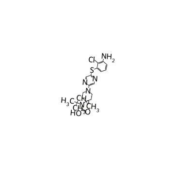 CC(C)(C)N(C(=O)O)C1(C)CCN(c2cnc(Sc3cccc(N)c3Cl)cn2)CC1